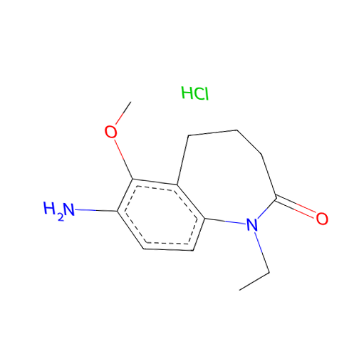 CCN1C(=O)CCCc2c1ccc(N)c2OC.Cl